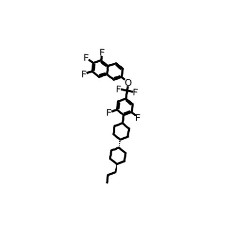 CCC[C@H]1CC[C@H](C2CCC(c3c(F)cc(C(F)(F)Oc4ccc5c(F)c(F)c(F)cc5c4)cc3F)CC2)CC1